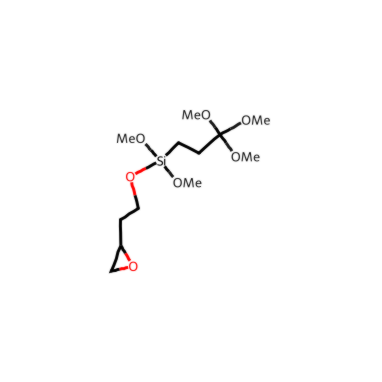 COC(CC[Si](OC)(OC)OCCC1CO1)(OC)OC